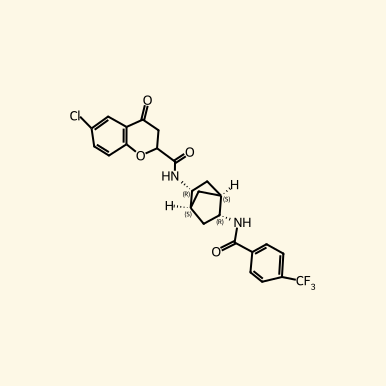 O=C(N[C@@H]1C[C@@H]2C[C@H]1C[C@H]2NC(=O)C1CC(=O)c2cc(Cl)ccc2O1)c1ccc(C(F)(F)F)cc1